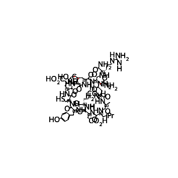 CC(C)C[C@H](NC(=O)[C@H](C)NC(=O)[C@@H](N)CC(N)=O)C(=O)N[C@@H](CC(=O)O)C(=O)N[C@@H](CCC(=O)O)C(=O)N[C@@H](Cc1ccc(O)cc1)C(=O)N[C@@H](CS)C(=O)N[C@@H](CCC(=O)O)C(=O)N[C@@H](CC(=O)O)C(=O)N[C@@H](CCCCN)C(=O)N[C@@H](CC(N)=O)C(=O)N[C@@H](CCCNC(=N)N)C(N)=O